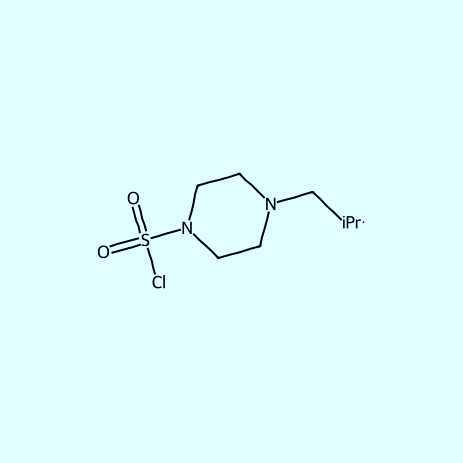 C[C](C)CN1CCN(S(=O)(=O)Cl)CC1